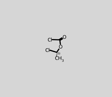 C[C@H](Cl)OC(=O)Cl